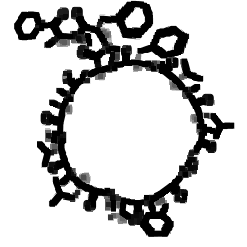 CC(C)C[C@H]1C(=O)N(C)[C@@H](C(C)C)C(=O)N[C@@H](Cc2ccccc2)C(=O)N[C@H](C(=O)N(C)[C@@H](Cc2ccccc2)C(=O)N[C@@H](C)C(=O)N2CCCCC2)CC(=O)N(C)[C@H](C)C(=O)N[C@@H](C(C)C)C(=O)N(C)[C@@H](CC(C)C)C(=O)N[C@@H]([C@@H](C)O)C(=O)N(C)[C@@H](Cc2ccccc2)C(=O)NCC(=O)N1C